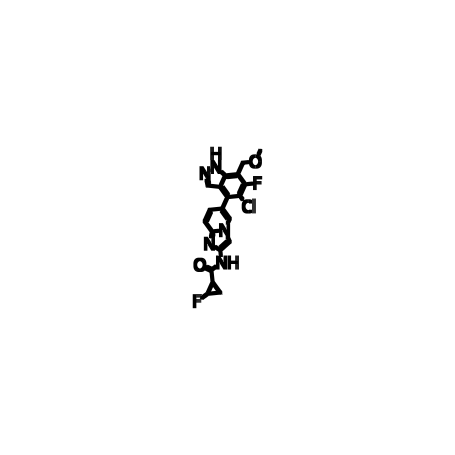 COCc1c(F)c(Cl)c(-c2ccc3nc(NC(=O)C4CC4F)cn3c2)c2cn[nH]c12